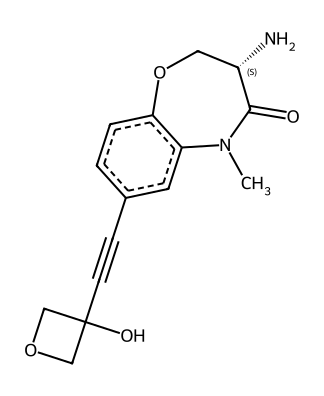 CN1C(=O)[C@@H](N)COc2ccc(C#CC3(O)COC3)cc21